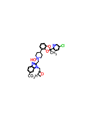 C[C@]1(c2ccc(Cl)cn2)Oc2cccc(C3CC[N+](O)(Cc4nc5ccc(C(=O)O)cc5n4C[C@@H]4CCO4)CC3)c2O1